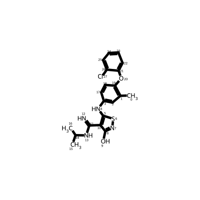 Cc1cc(Nc2snc(O)c2C(=N)NC(C)C)ccc1Oc1ccccc1Cl